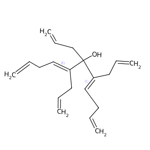 C=CC/C=C(\CC=C)C(O)(CC=C)/C(=C/CC=C)CC=C